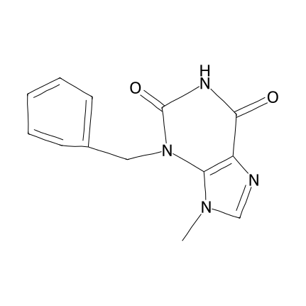 Cn1cnc2c(=O)[nH]c(=O)n(Cc3ccccc3)c21